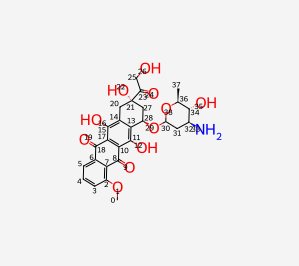 COc1cccc2c1C(=O)c1c(O)c3c(c(O)c1C2=O)C[C@@](O)(C(=O)CO)C[C@H]3OC1C[C@H](N)[C@@H](O)[C@H](C)O1